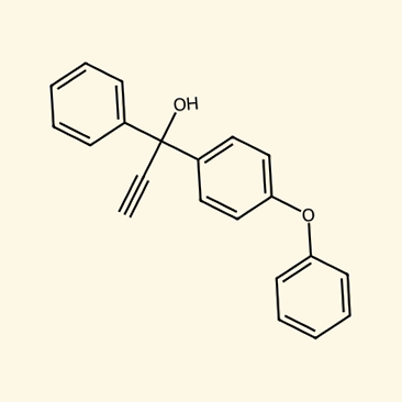 C#CC(O)(c1ccccc1)c1ccc(Oc2ccccc2)cc1